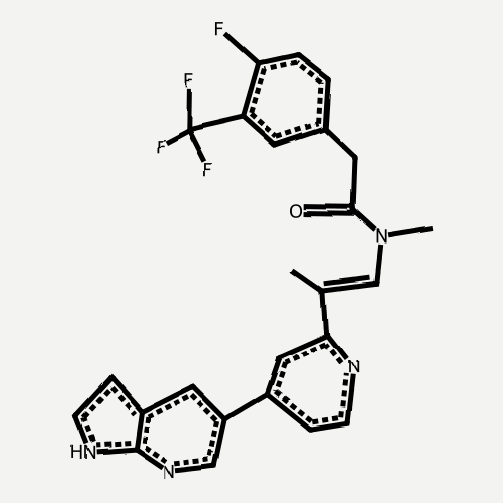 C/C(=C\N(C)C(=O)Cc1ccc(F)c(C(F)(F)F)c1)c1cc(-c2cnc3[nH]ccc3c2)ccn1